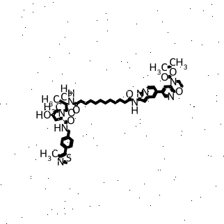 Cc1ncsc1-c1ccc(CNC(=O)[C@@H]2C[C@@H](O)CN2C(=O)[C@@H](NC(=O)CCCCCCCCCCC(=O)Nc2cc3cc(-c4cnc5c(c4)N(C(=O)OC(C)C)CCO5)ccn3n2)C(C)(C)C)cc1